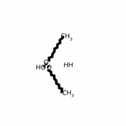 CCCCCCCCCCCCOP(O)OCCCCCCCCCCCC.[HH]